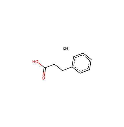 O=C(O)CCc1ccccc1.[KH]